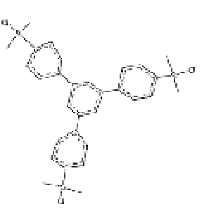 C[Si](C)(Cl)c1ccc(-c2cc(-c3ccc([Si](C)(C)Cl)cc3)cc(-c3ccc([Si](C)(C)Cl)cc3)c2)cc1